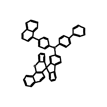 c1ccc(-c2ccc(N(c3ccc(-c4cccc5ccccc45)cc3)c3ccc4c(c3)C3(c5ccccc5Oc5c3ccc3ccccc53)c3ccccc3-4)cc2)cc1